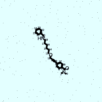 CN(C)C(=O)c1ccc(C#CCOCCCCCCNCc2ccccc2)cc1